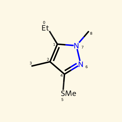 CCc1c(C)c(SC)nn1C